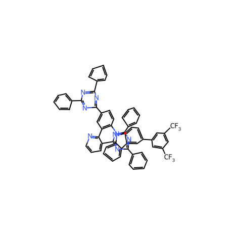 FC(F)(F)c1cc(-c2ccc3c(c2)c2ccccc2n3-c2ccc(-c3nc(-c4ccccc4)nc(-c4ccccc4)n3)cc2-c2ncccc2-c2nc(-c3ccccc3)nc(-c3ccccc3)n2)cc(C(F)(F)F)c1